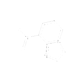 O=[N+]([O-])c1cccn2ccnc12